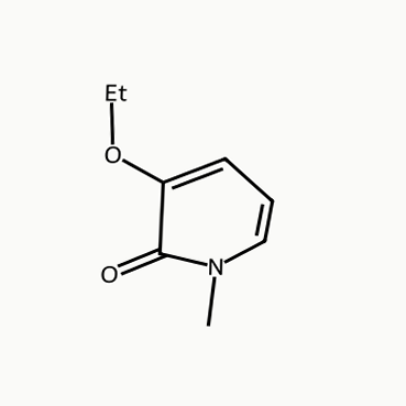 CCOc1cccn(C)c1=O